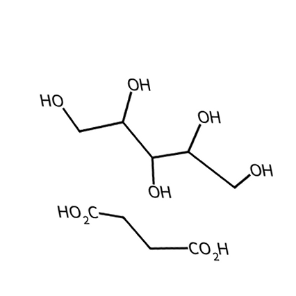 O=C(O)CCC(=O)O.OCC(O)C(O)C(O)CO